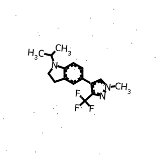 CC(C)N1CCc2cc(-c3cn(C)nc3C(F)(F)F)ccc21